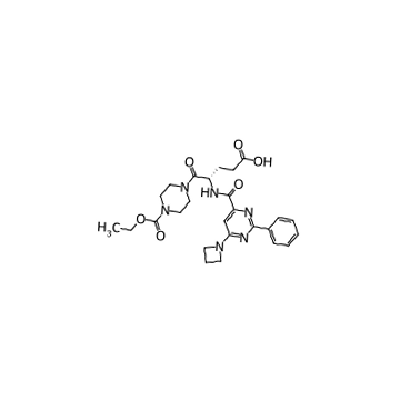 CCOC(=O)N1CCN(C(=O)[C@H](CCC(=O)O)NC(=O)c2cc(N3CCC3)nc(-c3ccccc3)n2)CC1